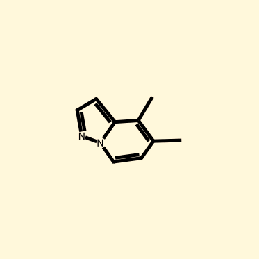 Cc1ccn2nccc2c1C